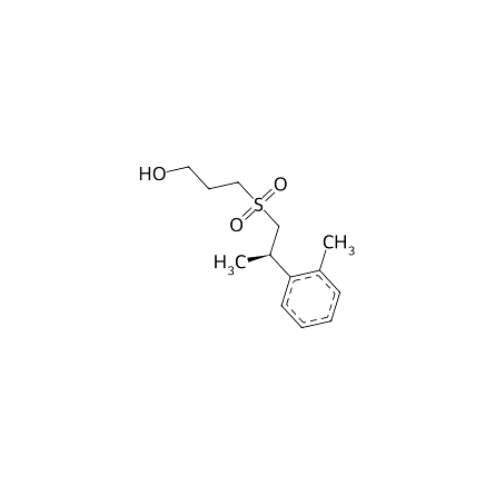 Cc1ccccc1[C@@H](C)CS(=O)(=O)CCCO